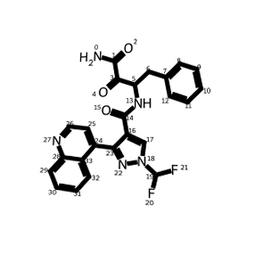 NC(=O)C(=O)C(Cc1ccccc1)NC(=O)c1cn(C(F)F)nc1-c1ccnc2ccccc12